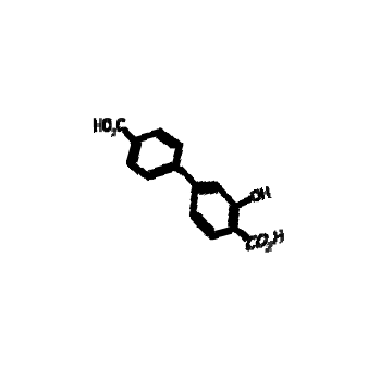 O=C(O)c1ccc(-c2ccc(C(=O)O)c(O)c2)cc1